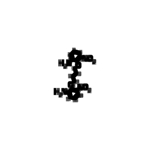 Nc1cccc([N+](=O)[O-])c1OCCCCOc1c(N)cccc1[N+](=O)[O-]